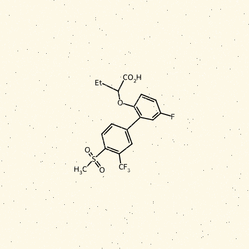 CCC(Oc1ccc(F)cc1-c1ccc(S(C)(=O)=O)c(C(F)(F)F)c1)C(=O)O